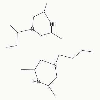 CCC(C)N1CC(C)NC(C)C1.CCCCN1CC(C)NC(C)C1